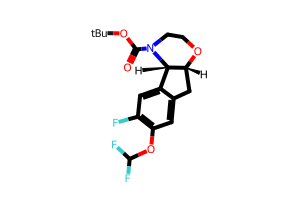 CC(C)(C)OC(=O)N1CCO[C@@H]2Cc3cc(OC(F)F)c(F)cc3[C@@H]21